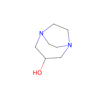 OC1CN2CCN(CC2)C1